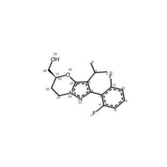 CC(C)c1c(-c2c(F)cccc2F)nn2c1O[C@H](CO)CC2